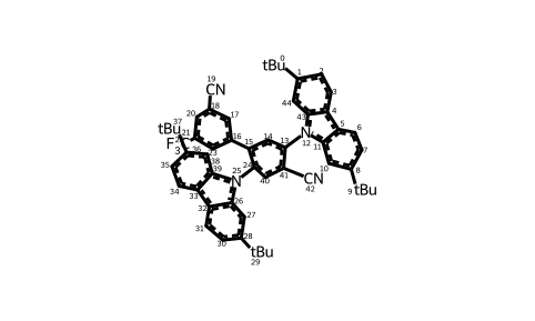 CC(C)(C)c1ccc2c3ccc(C(C)(C)C)cc3n(-c3cc(-c4cc(C#N)cc(C(F)(F)F)c4)c(-n4c5cc(C(C)(C)C)ccc5c5ccc(C(C)(C)C)cc54)cc3C#N)c2c1